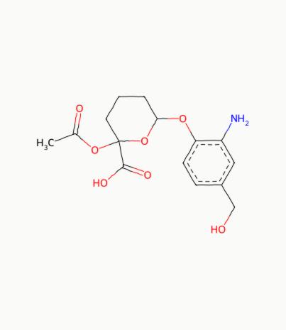 CC(=O)OC1(C(=O)O)CCCC(Oc2ccc(CO)cc2N)O1